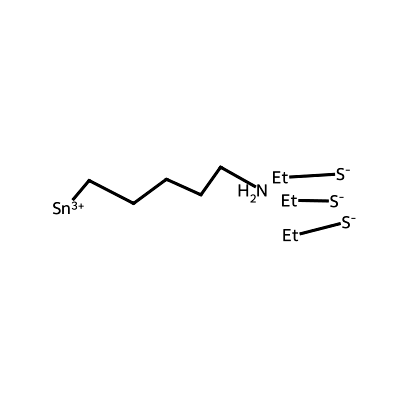 CC[S-].CC[S-].CC[S-].NCCCC[CH2][Sn+3]